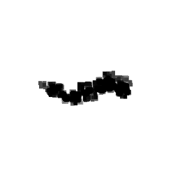 Cc1ccncc1-c1cc(N)c2cnc(NC(=O)C(=O)Nc3cnn(CCNS(N)(=O)=O)c3)cc2c1